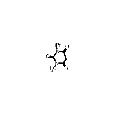 CC(C)N1C(=O)CC(=O)N(C)C1=O